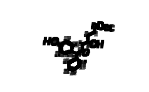 CCCCCCCCCCCCC(O)CC(=O)C(c1ccccc1)c1ccc(O)cc1